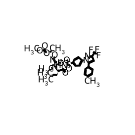 COC(=O)OC(C)O/N=[N+](\[O-])N(C)[C@@H](CC(C)C)C(=O)NS(=O)(=O)c1ccc(-n2nc(C(F)(F)F)cc2-c2ccc(C)cc2)cc1